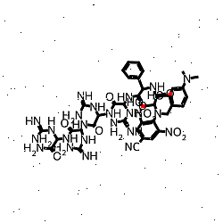 CN(C)c1ccc(CN(c2c([N+](=O)[O-])cc(C#N)cc2[N+](=O)[O-])C(CO)C(=O)NC(C(=O)NC(NC(=N)N)C(=O)NC(NC(=N)N)C(=O)NC(NC(=N)N)C(=O)NC(NC(=N)N)C(N)=O)c2ccccc2)c(O)c1